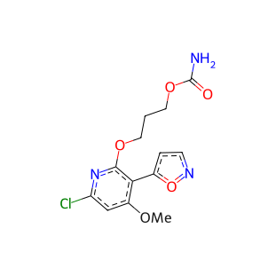 COc1cc(Cl)nc(OCCCOC(N)=O)c1-c1ccno1